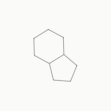 C1CCC2CCCC2C1